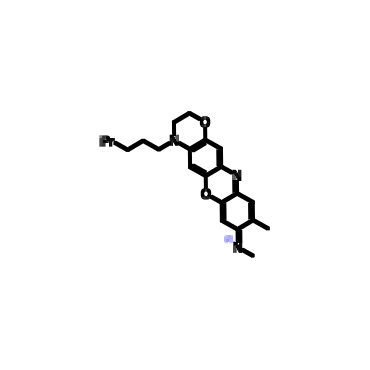 C/N=c1/cc2oc3cc4c(cc3nc-2cc1C)OCCN4CCCC(C)C